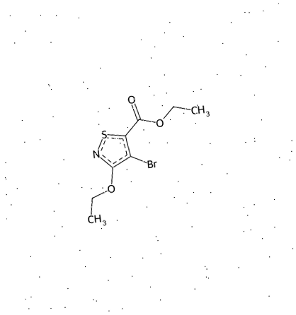 CCOC(=O)c1snc(OCC)c1Br